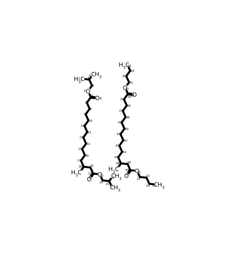 CC(C)COC(=O)CCCCCCCCCCCC(C)CC(=O)OCC(C)C.CCCCOC(=O)CCCCCCCCCCCC(C)CC(=O)OCCCC